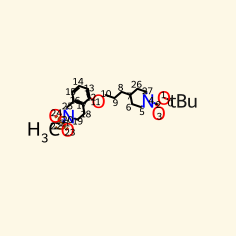 CC(C)(C)OC(=O)N1CCC(CCCOc2cccc3c2CCN(S(C)(=O)=O)C3)CC1